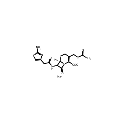 NC(=O)OCC1=C(C(=O)[O-])N2C(=O)C(NC(=O)Cc3csc(N)n3)[C@H]2SC1.[Na+]